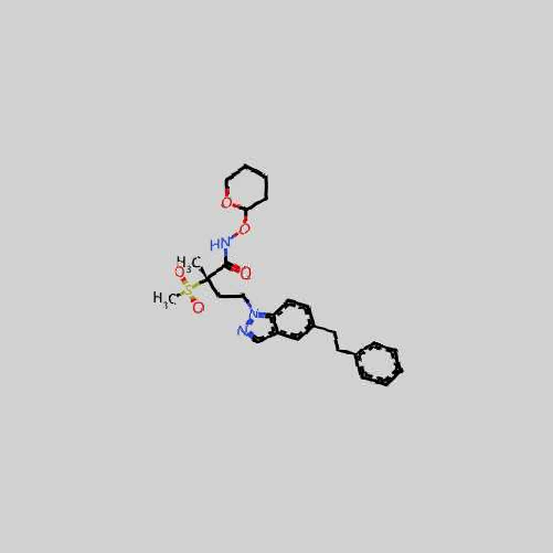 C[C@](CCn1ncc2cc(CCc3ccccc3)ccc21)(C(=O)NOC1CCCCO1)S(C)(=O)=O